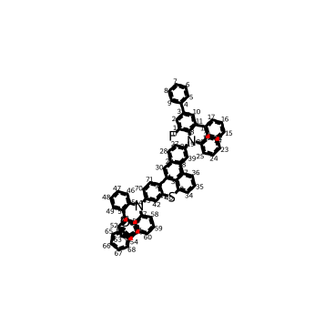 Fc1cc(-c2ccccc2)cc(-c2ccccc2)c1N(c1ccccc1)c1ccc2cc3c4c(cccc4c2c1)Sc1cc(N(c2ccccc2-c2ccccc2)c2cccc4c2oc2ccccc24)ccc1-3